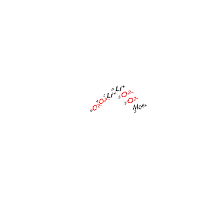 [Li+].[Li+].[Mo+6].[O-2].[O-2].[O-2].[O-2]